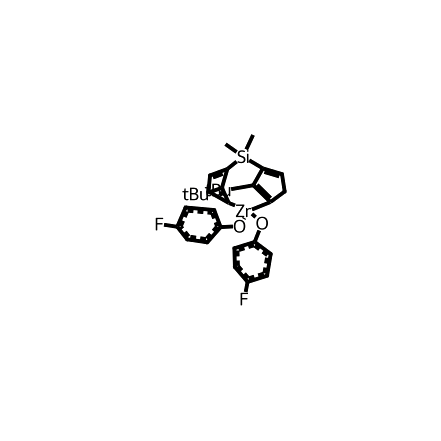 CC(C)(C)C1=[C]2CC=C1[Si](C)(C)C1=CC[C](=C1C(C)(C)C)[Zr]2([O]c1ccc(F)cc1)[O]c1ccc(F)cc1